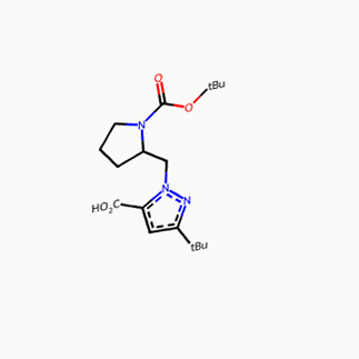 CC(C)(C)OC(=O)N1CCCC1Cn1nc(C(C)(C)C)cc1C(=O)O